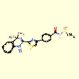 C[S+]([O-])NC(=O)c1ccc(-c2csc(C3=NC(C)(C)c4ccccc4N3)n2)cc1